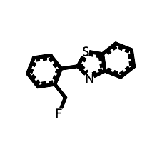 FCc1ccccc1-c1nc2ccccc2s1